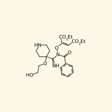 CCOC(=O)C=C(ON(C(=N)C1(OCCO)CCNCC1)C(=O)c1ccccc1)C(=O)OCC